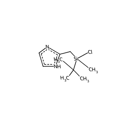 CC(C)(C)[Si](C)(Cl)Cc1ncc[nH]1